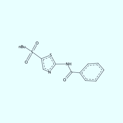 CCCCS(=O)(=O)c1cnc(NC(=O)c2ccccc2)s1